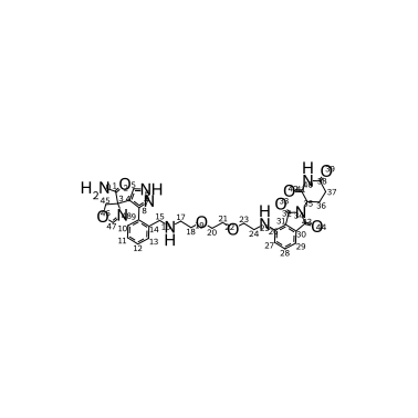 NC(=O)C1(c2c[nH]nc2-c2ccccc2CNCCOCCOCCNc2cccc3c2C(=O)N(C2CCC(=O)NC2=O)C3=O)COC=N1